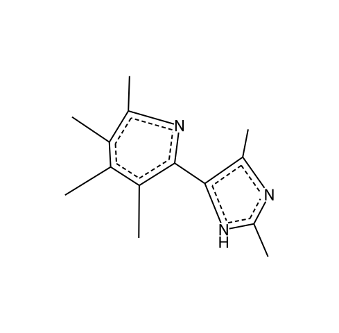 Cc1nc(C)c(-c2nc(C)c(C)c(C)c2C)[nH]1